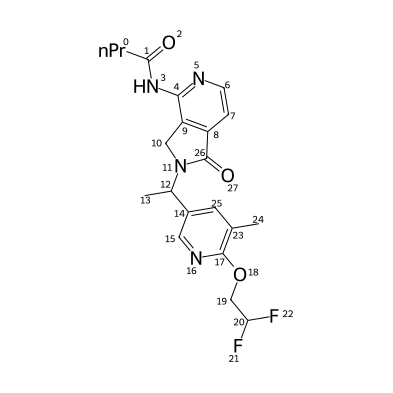 CCCC(=O)Nc1nccc2c1CN(C(C)c1cnc(OCC(F)F)c(C)c1)C2=O